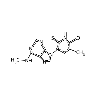 CNc1ncnc2c1ncn2-n1cc(C)c(=O)[nH]c1=S